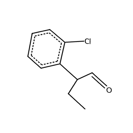 CCC(C=O)c1ccccc1Cl